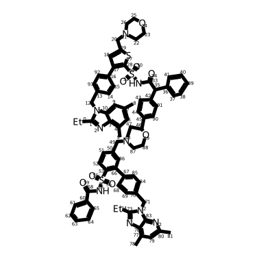 CCc1nc2c(C)cc(C)cc2n1Cc1ccc(-c2cc(CN3CCOCC3)sc2S(=O)(=O)NC(=O)C(c2ccccc2)c2ccc(C3CN(Cc4ccc(S(=O)(=O)NC(=O)c5ccccc5)c(-c5ccc(Cn6c(CC)nc7c(C)cc(C)nc76)cc5)c4)CCO3)cc2)cc1